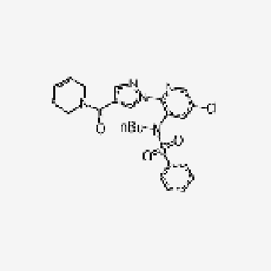 CCCCN(c1cc(Cl)cnc1-n1cc(C(=O)N2CC=CCC2)cn1)S(=O)(=O)c1ccccc1